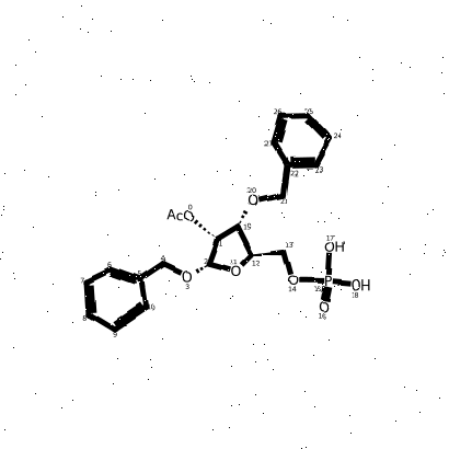 CC(=O)O[C@H]1[C@@H](OCc2ccccc2)O[C@H](COP(=O)(O)O)[C@H]1OCc1ccccc1